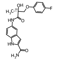 C[C@](O)(COc1ccc(F)cc1)C(=O)Nc1ccc2[nH]c(C(N)=O)cc2c1